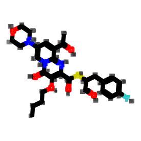 CCCCOc1c(C(=O)SC(C=O)Cc2ccc(F)cc2)nc2c(C(C)=O)cc(N3CCOCC3)cn2c1=O